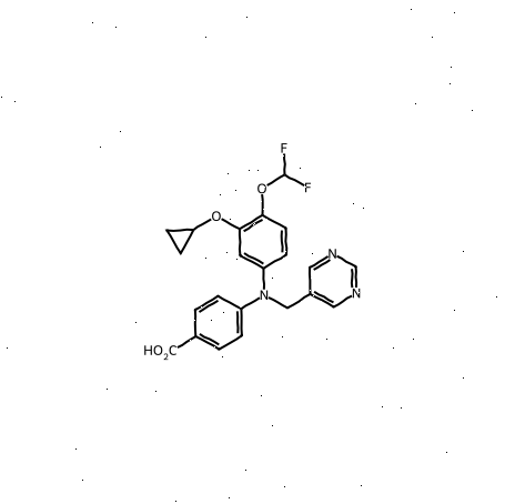 O=C(O)c1ccc(N(Cc2cncnc2)c2ccc(OC(F)F)c(OC3CC3)c2)cc1